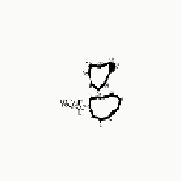 O=C(O)[C@H]1CCCCCC[C@@H](C2CCCCCCC2)C1